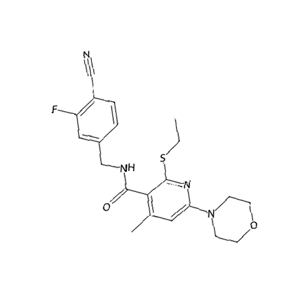 CCSc1nc(N2CCOCC2)cc(C)c1C(=O)NCc1ccc(C#N)c(F)c1